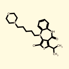 CC(C)c1sc(Cl)c2c1C(=O)Nc1ccccc1N2CCCCCN1CCOCC1